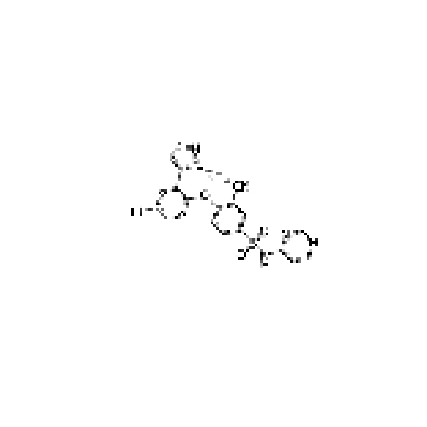 Cn1nccc1-c1cc(Cl)ccc1Oc1ccc(S(=O)(=O)Nc2ccncn2)cc1C#N